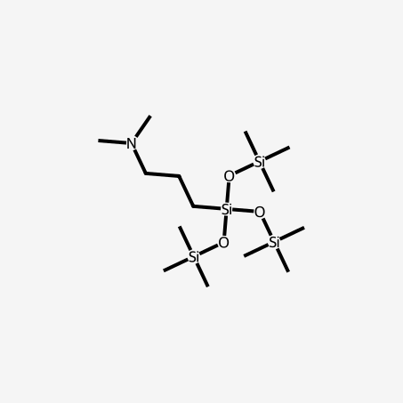 CN(C)CCC[Si](O[Si](C)(C)C)(O[Si](C)(C)C)O[Si](C)(C)C